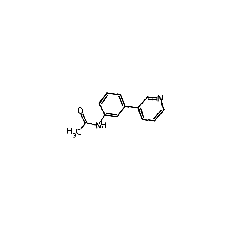 CC(=O)Nc1cccc(-c2cccnc2)c1